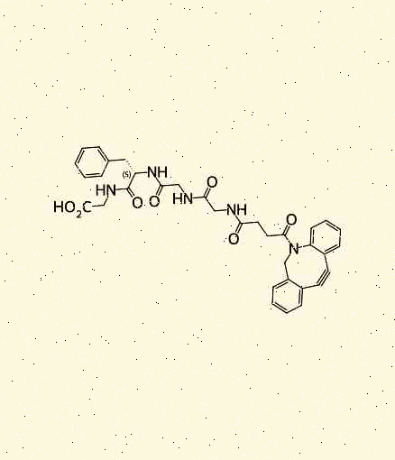 O=C(O)CNC(=O)[C@H](Cc1ccccc1)NC(=O)CNC(=O)CNC(=O)CCC(=O)N1Cc2ccccc2C#Cc2ccccc21